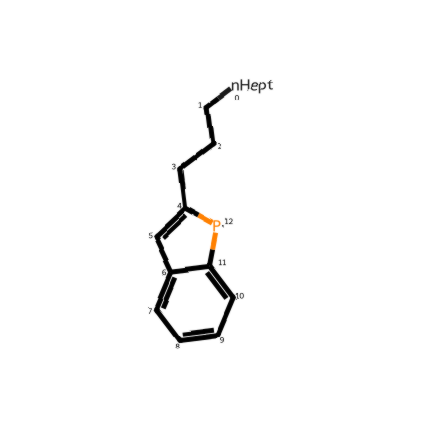 CCCCCCCCCCC1=Cc2ccccc2[P]1